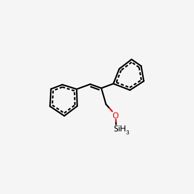 [SiH3]OCC(=Cc1ccccc1)c1ccccc1